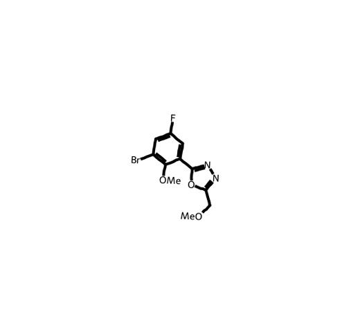 COCc1nnc(-c2cc(F)cc(Br)c2OC)o1